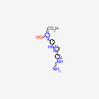 NCCCNc1ccc(-c2ccnc(Nc3cccc(CN4CCN(CC(=O)O)CC4CO)c3)n2)cn1